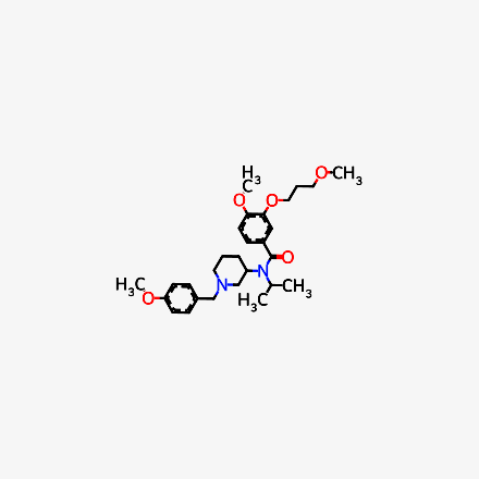 COCCCOc1cc(C(=O)N(C(C)C)C2CCCN(Cc3ccc(OC)cc3)C2)ccc1OC